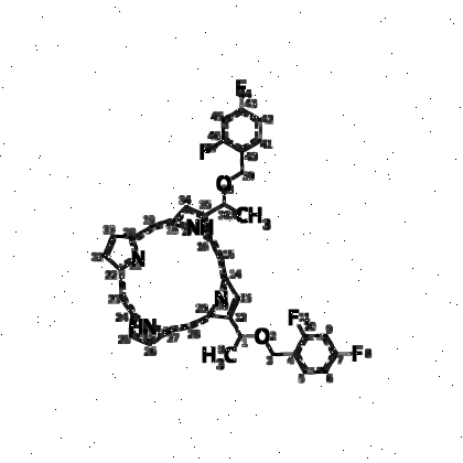 CC(OCc1ccc(F)cc1F)C1=Cc2cc3[nH]c(cc4nc(cc5ccc(cc1n2)[nH]5)C=C4)cc3C(C)OCc1ccc(F)cc1F